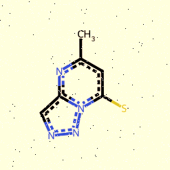 Cc1cc([S])n2nncc2n1